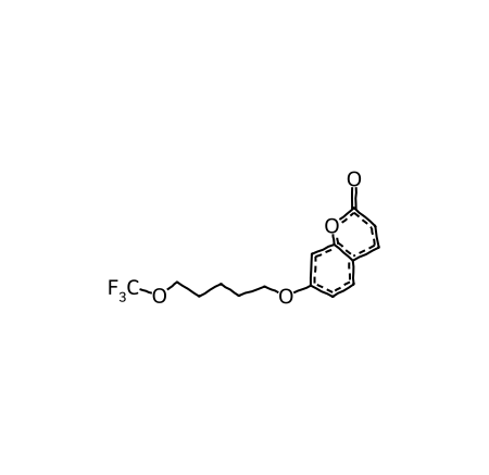 O=c1ccc2ccc(OCCCCCOC(F)(F)F)cc2o1